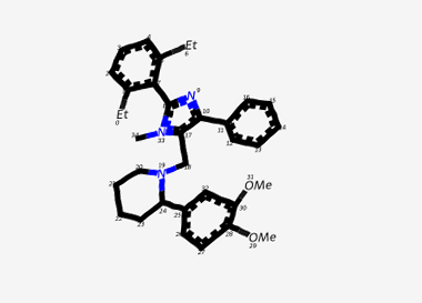 CCc1cccc(CC)c1-c1nc(-c2ccccc2)c(CN2CCCCC2c2ccc(OC)c(OC)c2)n1C